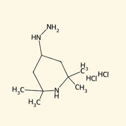 CC1(C)CC(NN)CC(C)(C)N1.Cl.Cl